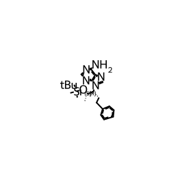 C[C@H](O[Si](C)(C)C(C)(C)C)[C@@H](CCc1ccccc1)n1cnc2c(N)ncnc21